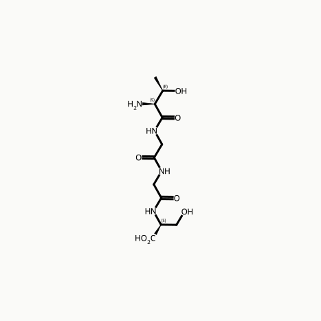 C[C@@H](O)[C@H](N)C(=O)NCC(=O)NCC(=O)N[C@@H](CO)C(=O)O